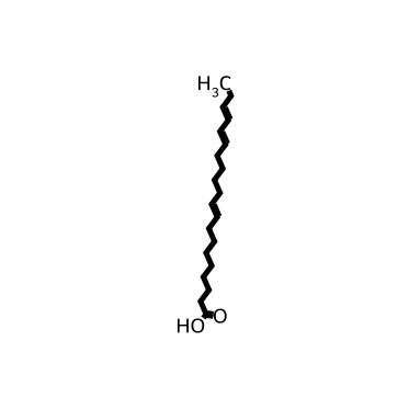 CCC=CC=CCCCCC=CCCCCCCCC(=O)O